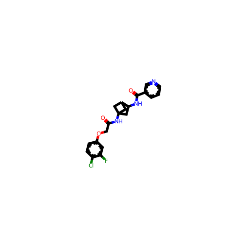 O=C(COc1ccc(Cl)c(F)c1)NC12CC(C1)C(NC(=O)c1cccnc1)C2